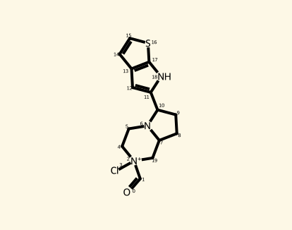 O=C[N+]1(Cl)CCN2C(CCC2c2cc3ccsc3[nH]2)C1